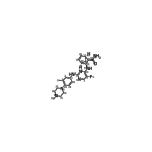 Cc1cc(Nc2ncc(F)c(N[C@@H]3[C@H](C(N)=O)[C@@H]4C=C[C@H]3C4)n2)ccc1N1CCN(C)CC1